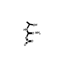 CC(O)NC(=O)N=S(=O)=O.N